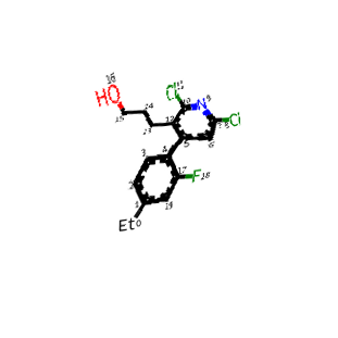 CCc1ccc(-c2cc(Cl)nc(Cl)c2CCCO)c(F)c1